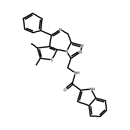 Cc1sc2c(c1C)C(c1ccccc1)=NCc1nnc(CNC(=O)c3cc4ccccc4[nH]3)n1-2